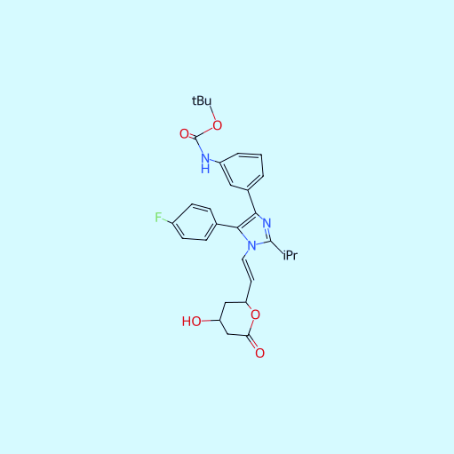 CC(C)c1nc(-c2cccc(NC(=O)OC(C)(C)C)c2)c(-c2ccc(F)cc2)n1C=CC1CC(O)CC(=O)O1